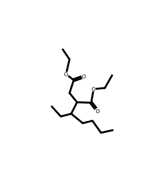 CCCCC(CC)C(CC(=O)OCC)C(=O)OCC